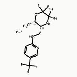 Cl.[2H]C1([2H])N[C@H](CNc2ccc(C(F)(F)F)cn2)[C@H](C)OC1(F)F